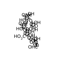 COC[C@@H]1OC(CO)[C@@H](COC[C@@H]2O[C@@H](CO)[C@@H](C)C(O)C2O)[C@@H](COC[C@H]2OC(COC(C)=O)[C@@H](O)[C@@H](O)C2COC[C@@H]2OC(C(=O)O)[C@@H](COC[C@@H]3OC4COC(C)(OC=O)O[C@H]4[C@@H](O)C3O)[C@@H](O)C2O)C1O